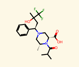 CC(C)C(=O)N1[C@H](C)CN([C@H](CC(C)(O)C(F)(F)F)c2ccccc2)C[C@@H]1C(=O)O